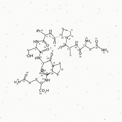 CCC(C)C(NC(=O)C(CO)NC(=O)C(NC(=O)[C@@H]1CCCN1C(=O)C(C)NC(=O)C(N)CC(N)=O)C(C)C)C(=O)N1CCC[C@H]1C(=O)NC(CCC(N)=O)C(=O)O